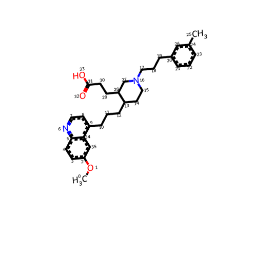 COc1ccc2nccc(CCCC3CCN(CCCc4cccc(C)c4)CC3CCC(=O)O)c2c1